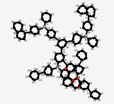 c1ccc(-c2ccc(N(c3ccc(-c4ccccc4)cc3)c3ccccc3-c3cccc(-c4cc(-c5cc(-c6ccc(N(c7ccccc7)c7ccc(-c8cccc9ccccc89)cc7)cc6)cc(-c6ccc(N(c7ccccc7)c7ccc(-c8cccc9ccccc89)cc7)cc6)c5)ccc4N(c4ccc(-c5ccccc5)cc4)c4ccc(-c5ccccc5)cc4)c3)cc2)cc1